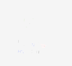 [O-][S+](c1cccc(C(F)(F)F)c1)N1C[C@H]2C[C@@H]1CN2